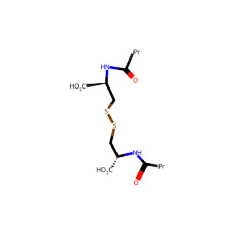 CC(C)C(=O)N[C@@H](CSSC[C@H](NC(=O)C(C)C)C(=O)O)C(=O)O